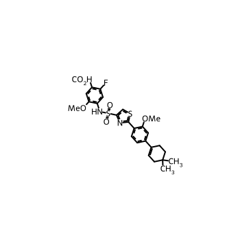 COc1cc(C(=O)O)c(F)cc1NS(=O)(=O)c1csc(-c2ccc(C3=CCC(C)(C)CC3)cc2OC)n1